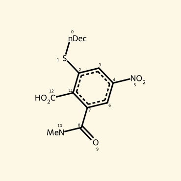 CCCCCCCCCCSc1cc([N+](=O)[O-])cc(C(=O)NC)c1C(=O)O